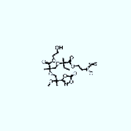 CCC(C)(OCC(C)(OCC(C)(OC)c1noc(=O)o1)C(=O)OCCO)C(=O)OCCP(=O)=S=S